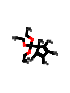 CC[O][Zr]([O]CC)([O]CC)[C]1(C)C(C)=C(C)C(C)=C1C